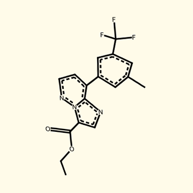 CCOC(=O)c1cnc2c(-c3cc(C)cc(C(F)(F)F)c3)ccnn12